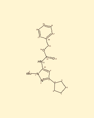 CC(C)(C)n1nc(C2CCCC2)cc1NC(=O)OCc1ccccc1